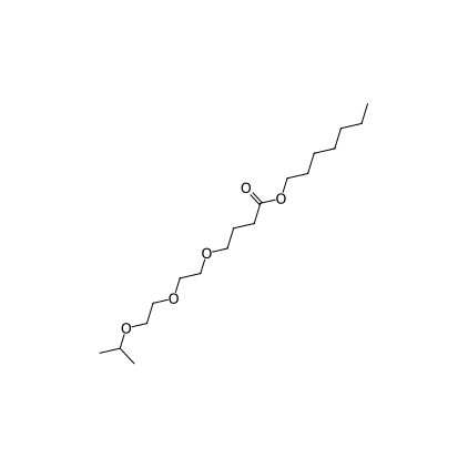 CCCCCCCOC(=O)CCCOCCOCCOC(C)C